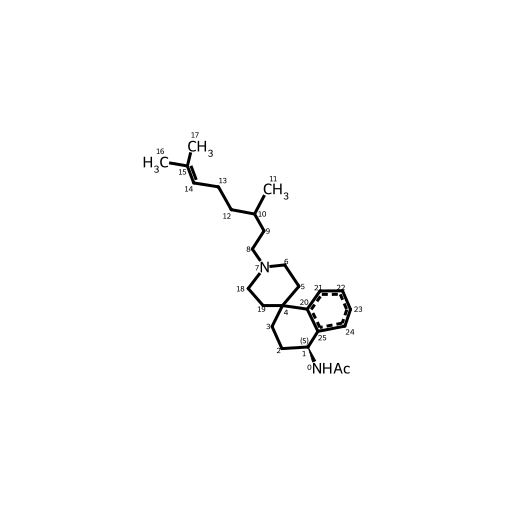 CC(=O)N[C@H]1CCC2(CCN(CCC(C)CCC=C(C)C)CC2)c2ccccc21